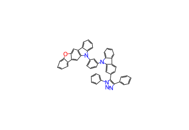 c1ccc(-c2nnn(-c3ccccc3)c2-c2ccc3c4ccccc4n(-c4cccc(-n5c6ccccc6c6cc7oc8ccccc8c7cc65)c4)c3c2)cc1